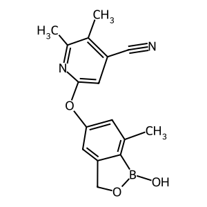 Cc1cc(Oc2cc(C#N)c(C)c(C)n2)cc2c1B(O)OC2